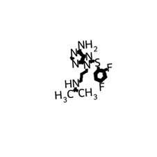 CC(C)NCCCn1c(Sc2ccc(F)cc2F)nc2c(N)ncnc21